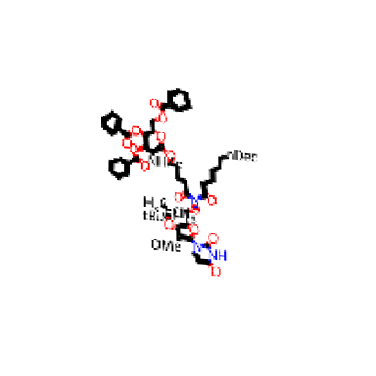 CCCCCCCCCCCCCCCC(=O)N(OC[C@H]1O[C@@H](n2ccc(=O)[nH]c2=O)C(OC)C1O[Si](C)(C)C(C)(C)C)C(=O)CCCCOC1OC(COC(=O)c2ccccc2)C(OC(=O)c2ccccc2)C(OC(=O)c2ccccc2)C1NC(C)=O